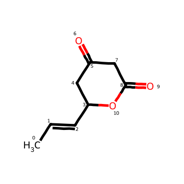 CC=CC1CC(=O)CC(=O)O1